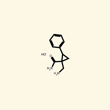 Cl.NCC1(C(N)=O)CC1c1ccccc1